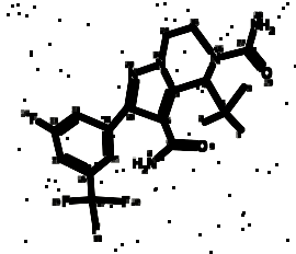 CC(C)(C)C1c2c(C(N)=O)c(-c3cc(F)cc(C(F)(F)F)c3)nn2CCN1C(N)=O